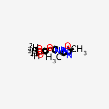 [2H]C1([2H])Oc2ccc(OC3CCN(c4nn5c(=O)c(C)cnc5cc4C)CC3)cc2OC1([2H])[2H]